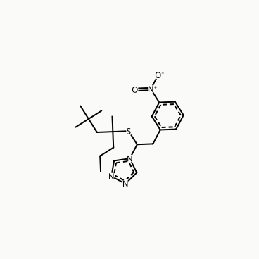 CCCC(C)(CC(C)(C)C)SC(Cc1cccc([N+](=O)[O-])c1)n1cnnc1